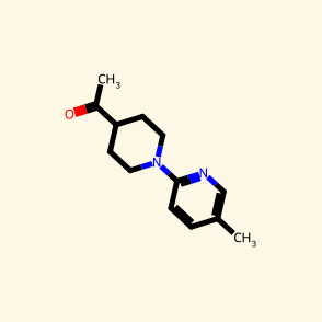 CC(=O)C1CCN(c2ccc(C)cn2)CC1